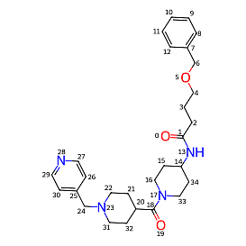 O=C(CCCOCc1ccccc1)NC1CCN(C(=O)C2CCN(Cc3ccncc3)CC2)CC1